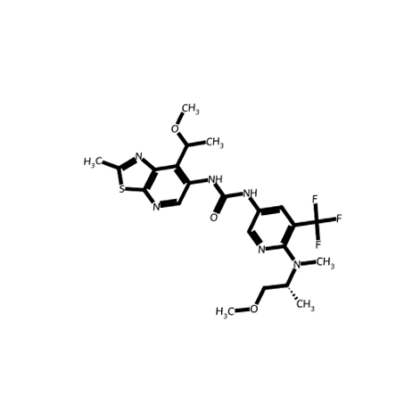 COC[C@@H](C)N(C)c1ncc(NC(=O)Nc2cnc3sc(C)nc3c2C(C)OC)cc1C(F)(F)F